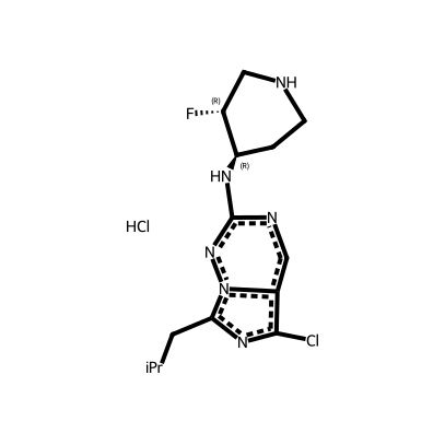 CC(C)Cc1nc(Cl)c2cnc(N[C@@H]3CCNC[C@H]3F)nn12.Cl